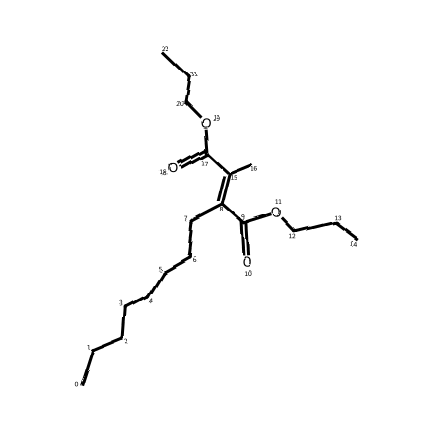 CCCCCCCCC(C(=O)OCCC)=C(C)C(=O)OCCC